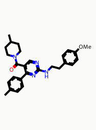 COc1ccc(CCNc2ncc(C(=O)N3CCC(C)CC3)c(-c3ccc(C)cc3)n2)cc1